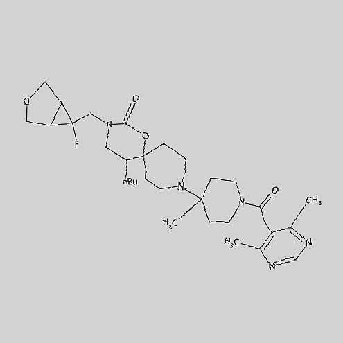 CCCCC1CN(CC2(F)C3COCC32)C(=O)OC12CCN(C1(C)CCN(C(=O)c3c(C)ncnc3C)CC1)CC2